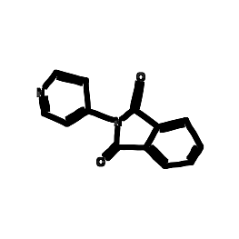 O=C1c2ccccc2C(=O)N1c1ccncc1